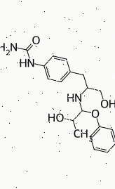 CC(O)C(NC(CO)Cc1ccc(NC(N)=O)cc1)Oc1ccccc1